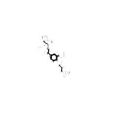 C[S+]([O-])CCCOc1ccc(C(=O)CNC(=O)CCl)cc1Cl